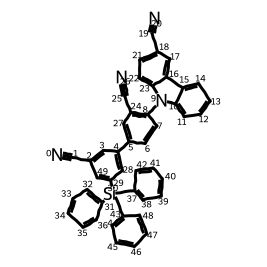 N#Cc1cc(-c2ccc(-n3c4ccccc4c4cc(C#N)ccc43)c(C#N)c2)cc([Si](c2ccccc2)(c2ccccc2)c2ccccc2)c1